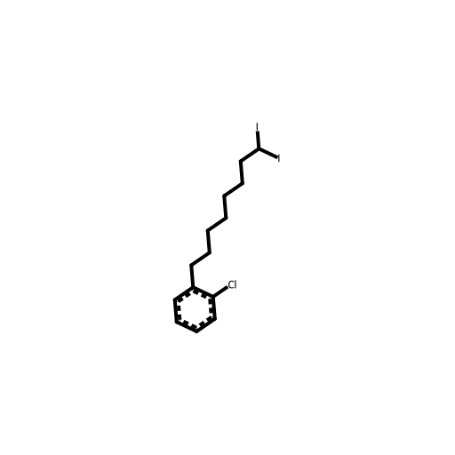 Clc1ccccc1CCCCCCCC(I)I